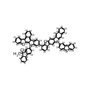 CC1(C)c2ccccc2-c2ccc(-n3c4cc(-c5cccc6c5oc5cc7c8cc9ccccc9cc8n(-c8ccc9sc%10ccccc%10c9c8)c7cc56)ccc4c4c5ccccc5c5c6ccccc6oc5c43)cc21